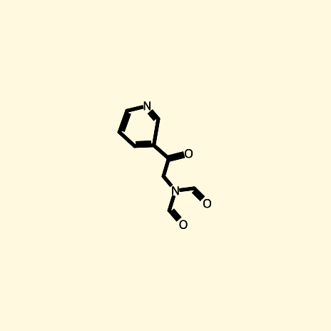 O=CN(C=O)CC(=O)c1cccnc1